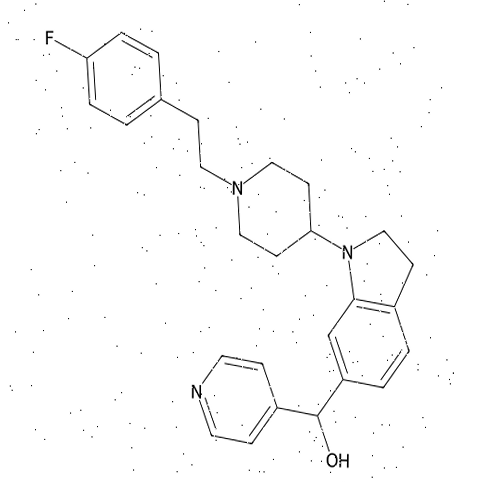 OC(c1ccncc1)c1ccc2c(c1)N(C1CCN(CCc3ccc(F)cc3)CC1)CC2